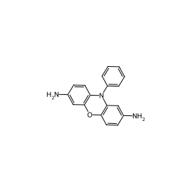 Nc1ccc2c(c1)Oc1ccc(N)cc1N2c1ccccc1